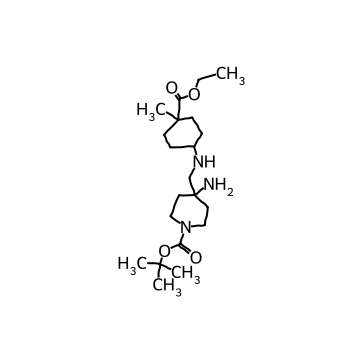 CCOC(=O)C1(C)CCC(NCC2(N)CCN(C(=O)OC(C)(C)C)CC2)CC1